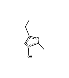 CCc1cn(O)c(C)n1